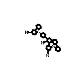 N#Cc1ccc(-c2cccc(-c3ccc(-n4c5ccccc5c5cc(C#N)ccc54)cc3)c2C#N)c(-n2c3ccccc3c3ccccc32)c1